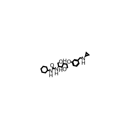 O=C(NC1CCCCC1)N[C@H]1CO[C@H]2[C@@H]1OC[C@@H]2Oc1cccc(CNC2CC2)c1